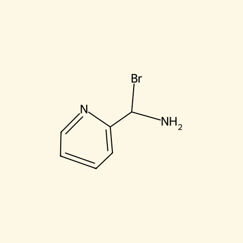 NC(Br)c1ccccn1